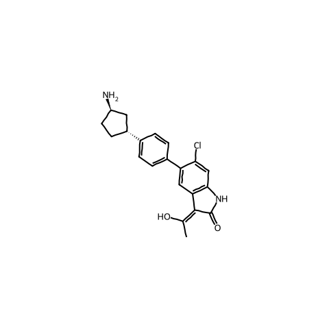 C/C(O)=C1\C(=O)Nc2cc(Cl)c(-c3ccc([C@@H]4CC[C@@H](N)C4)cc3)cc21